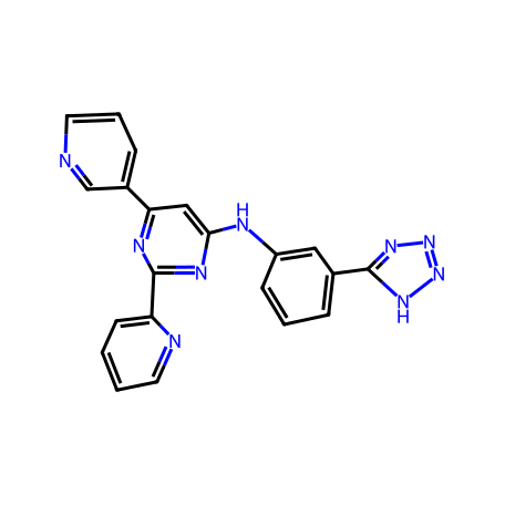 c1ccc(-c2nc(Nc3cccc(-c4nnn[nH]4)c3)cc(-c3cccnc3)n2)nc1